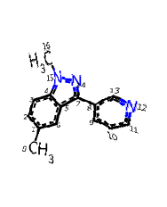 Cc1ccc2c(c1)c(-c1cccnc1)nn2C